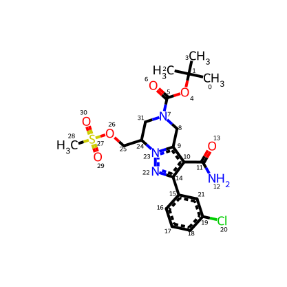 CC(C)(C)OC(=O)N1Cc2c(C(N)=O)c(-c3cccc(Cl)c3)nn2C(COS(C)(=O)=O)C1